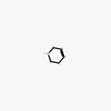 [C]1=CCCSC1